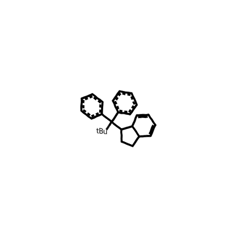 CC(C)(C)C(c1ccccc1)(c1ccccc1)C1CCC2C=CC=CC21